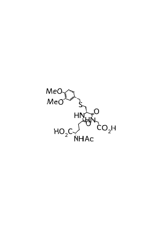 COc1ccc(CSC[C@H](NC(=O)CC[C@H](NC(C)=O)C(=O)O)C(=O)NCC(=O)O)cc1OC